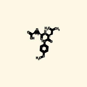 COc1ccc(NC(=O)[C@H](CC(C)C)NC(=O)[C@H]2O[C@@H]2C(=O)O)cc1